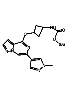 Cn1cc(-c2cn3nccc3c(OC3CC(NC(=O)OC(C)(C)C)C3)n2)cn1